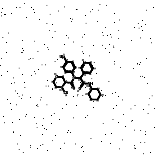 CC(C)(C)c1ccc(N(C(=O)C2COCCN2C#N)C(C(=O)NC2CCCCC2)c2cccnc2)cc1